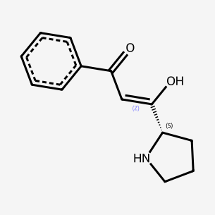 O=C(/C=C(\O)[C@@H]1CCCN1)c1ccccc1